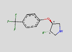 F[C@H]1CNC[C@@H]1Oc1ccc(C(F)(F)F)cc1